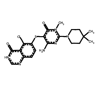 Cn1c(N2CCC(C)(C)CC2)nc(N)c(Sc2ccc3nc[nH]c(=O)c3c2Cl)c1=O